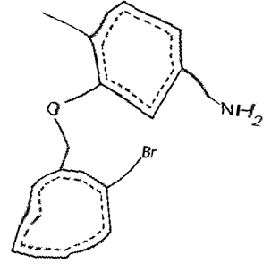 Cc1ccc(N)cc1Oc1ccccc1Br